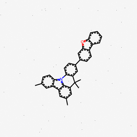 Cc1ccc2c(c1)c1cc(C)cc3c1n2-c1ccc(-c2ccc4c(c2)oc2ccccc24)cc1C3(C)C